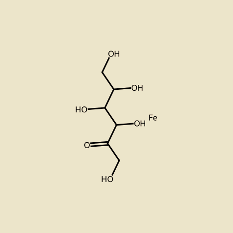 O=C(CO)C(O)C(O)C(O)CO.[Fe]